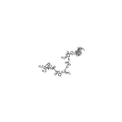 Cc1cc(C)n(BF)c1/C=C1/C=CC(CCC(=O)NCCNC(=O)c2cccc(OCC(N)OCCOCC(=O)NCC#Cc3cn([C@H]4CC[C@@H](COP(=O)(O)OP(=O)(O)OP(C)(=O)O)O4)c(=O)nc3N)c2)=N1